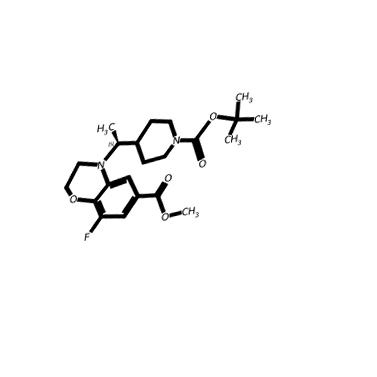 COC(=O)c1cc(F)c2c(c1)N([C@@H](C)C1CCN(C(=O)OC(C)(C)C)CC1)CCO2